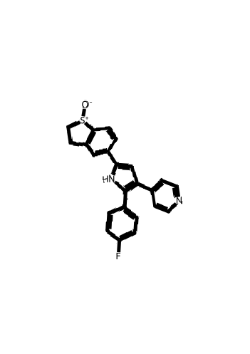 [O-][S+]1CCc2cc(-c3cc(-c4ccncc4)c(-c4ccc(F)cc4)[nH]3)ccc21